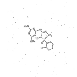 CN=C(Nc1nc(OC)nc(OC)n1)N(C)S(=O)(=O)c1ccccc1Cl